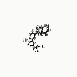 CCN(CC)C1CCc2[nH]c3ccc(C(=O)Nc4ccncc4Cl)cc3c2C1